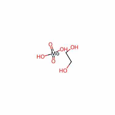 OCCO.[O]=[Mo](=[O])([OH])[OH]